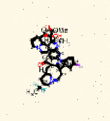 CC[C@]12C=CCN3CC[C@@]4(c5cc([C@@]6(C(=O)OC)C[C@H]7C[C@@H](C(C)(F)F)CN(CCc8c6[nH]c6ccc(I)cc86)C7)c(OC)cc5N(C)[C@H]4[C@@](O)(C(=O)OC)[C@@H]1OC(C)=O)[C@@H]32